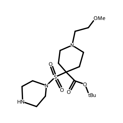 COCCN1CCC(C(=O)OC(C)(C)C)(S(=O)(=O)N2CCNCC2)CC1